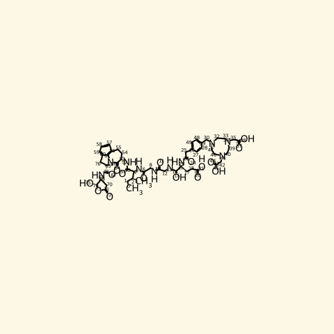 CC[C@H](C)[C@H](NC(=O)CNC(=O)CNC(O)[C@H](CCC(=O)O)NC(=O)Cc1ccc(CN2CCN(CC(=O)O)CCN(CC(=O)O)CC2)cc1)C(=O)N[C@H]1CCc2cccc3c2N(C1=O)[C@H](C(=O)N[C@H]1CC(=O)O[C@@H]1O)C3